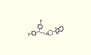 Fc1ccc(C(CCCN2CCC(c3nc4ccccc4s3)CC2)c2ccc(F)cc2)cc1